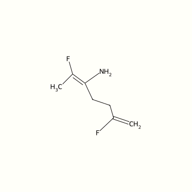 C=C(F)CC/C(N)=C(\C)F